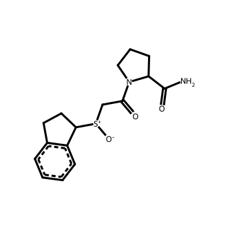 NC(=O)C1CCCN1C(=O)C[S+]([O-])C1CCc2ccccc21